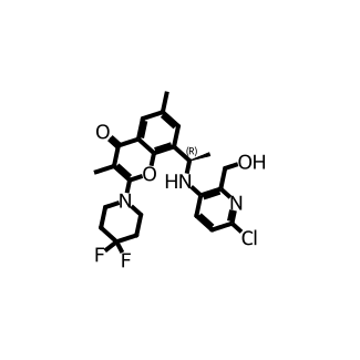 Cc1cc([C@@H](C)Nc2ccc(Cl)nc2CO)c2oc(N3CCC(F)(F)CC3)c(C)c(=O)c2c1